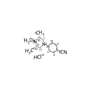 C[C@@H]1CN(c2ccc(C#N)cc2)C[C@H](C)N1C.Cl